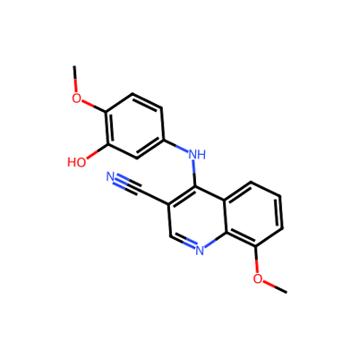 COc1ccc(Nc2c(C#N)cnc3c(OC)cccc23)cc1O